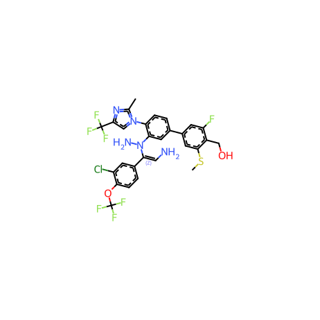 CSc1cc(-c2ccc(-n3cc(C(F)(F)F)nc3C)c(N(N)/C(=C\N)c3ccc(OC(F)(F)F)c(Cl)c3)c2)cc(F)c1CO